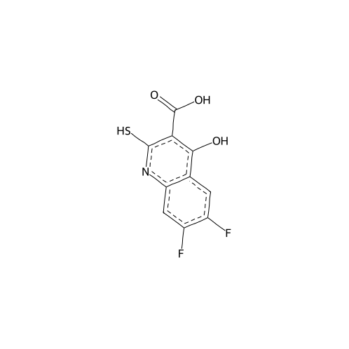 O=C(O)c1c(S)nc2cc(F)c(F)cc2c1O